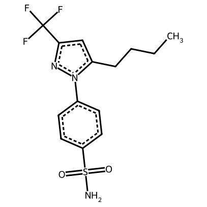 CCCCc1cc(C(F)(F)F)nn1-c1ccc(S(N)(=O)=O)cc1